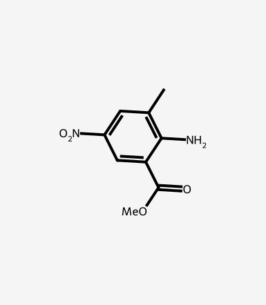 COC(=O)c1cc([N+](=O)[O-])cc(C)c1N